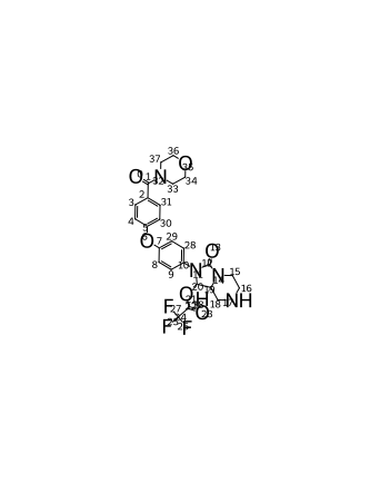 O=C(c1ccc(Oc2ccc(N3C(=O)N4CCNC[C@H]4C3OC(=O)C(F)(F)F)cc2)cc1)N1CCOCC1